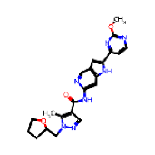 COc1nccc(-c2cc3cnc(NC(=O)c4cnn(CC5CCCO5)c4C)cc3[nH]2)n1